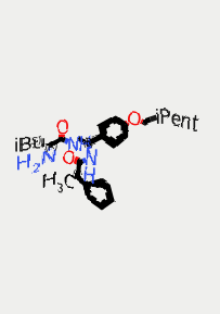 CCCC(C)COc1ccc([C@H](CNC(=O)[C@H](N)[C@@H](C)CC)NC(=O)[C@@H](C)c2ccccc2)cc1